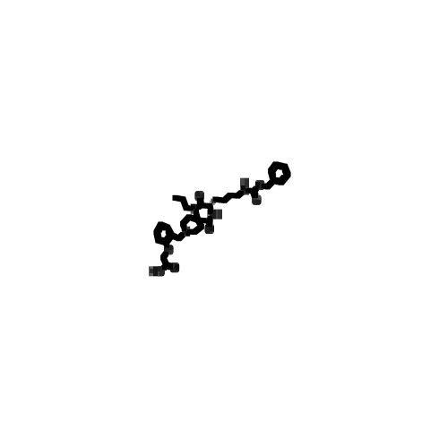 CCCN1C(=O)[C@H](CCCCNC(=O)OCc2ccccc2)NC(=O)C12CCN(Cc1ccccc1OCC(=O)O)CC2